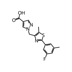 Cc1cc(F)cc(-c2nc(Cn3cc(C(=O)O)cn3)c(C)s2)c1